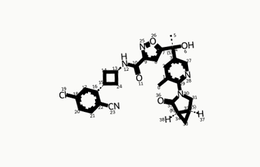 Cc1cc([C@](C)(O)c2cc(C(=O)N[C@H]3C[C@@H](c4cc(Cl)ccc4C#N)C3)no2)cnc1N1C[C@H]2C[C@H]2C1=O